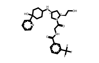 O=C(NCC(=O)N1C[C@@H](NC2CCC(O)(c3ccccn3)CC2)C[C@H]1CCO)c1cccc(C(F)(F)F)c1